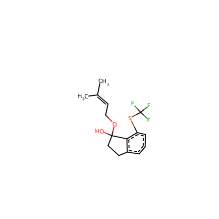 CC(C)=CCOC1(O)CCc2cccc(SC(F)(F)F)c21